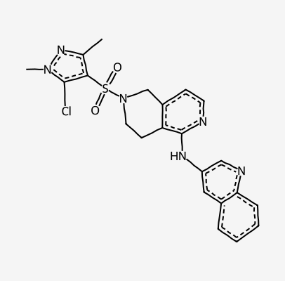 Cc1nn(C)c(Cl)c1S(=O)(=O)N1CCc2c(ccnc2Nc2cnc3ccccc3c2)C1